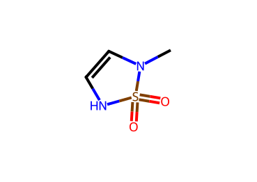 CN1C=CNS1(=O)=O